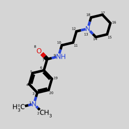 CN(C)c1ccc(C(=O)NCCCN2CCCCC2)cc1